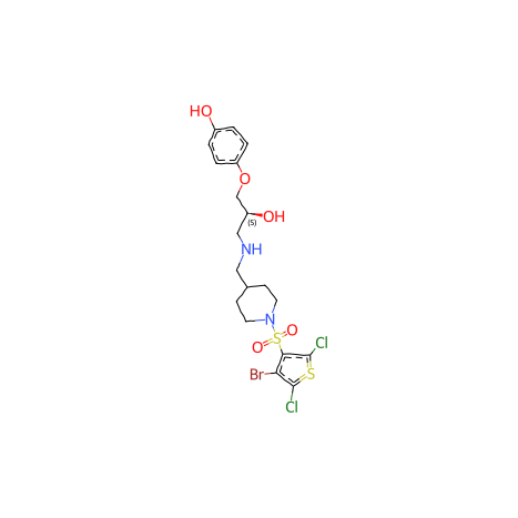 O=S(=O)(c1c(Cl)sc(Cl)c1Br)N1CCC(CNC[C@H](O)COc2ccc(O)cc2)CC1